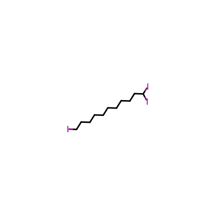 ICCCCCCCCCCC(I)I